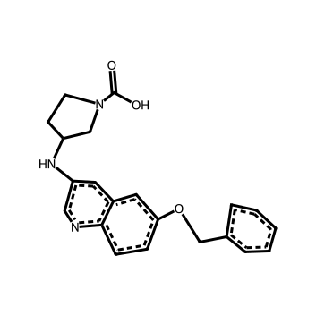 O=C(O)N1CCC(Nc2cnc3ccc(OCc4ccccc4)cc3c2)C1